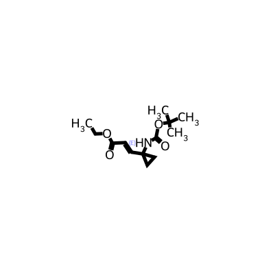 CCOC(=O)/C=C/C1(NC(=O)OC(C)(C)C)CC1